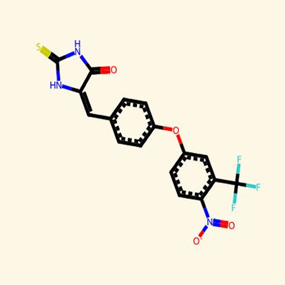 O=C1NC(=S)NC1=Cc1ccc(Oc2ccc([N+](=O)[O-])c(C(F)(F)F)c2)cc1